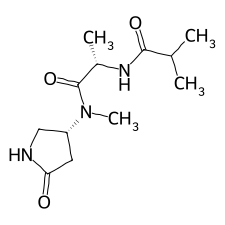 CC(C)C(=O)N[C@@H](C)C(=O)N(C)[C@H]1CNC(=O)C1